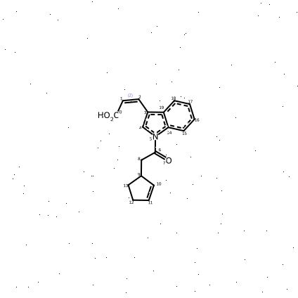 O=C(O)/C=C\c1cn(C(=O)CC2C=CCC2)c2ccccc12